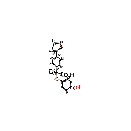 CCC(Sc1ccc(O)cc1)(C(=O)O)c1ccc(-c2cccs2)cc1